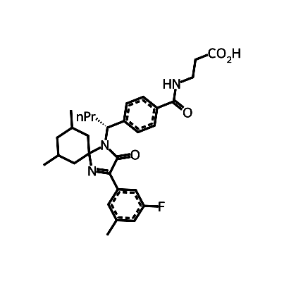 CCC[C@H](c1ccc(C(=O)NCCC(=O)O)cc1)N1C(=O)C(c2cc(C)cc(F)c2)=NC12CC(C)CC(C)C2